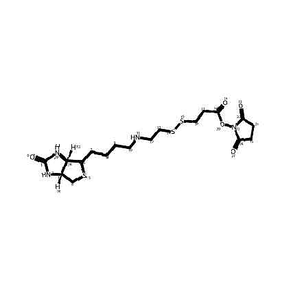 O=C1N[C@H]2CSC(CCCCNCCSSCCC(=O)ON3C(=O)CCC3=O)[C@H]2N1